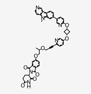 CC(COc1ccc2c(c1)C(=O)N(C1CCC(=O)NC1=O)C2=O)OCC#Cc1ccc(O[C@H]2C[C@H](Oc3ccc(-c4ccc5c6cnccc6n(C)c5c4)cn3)C2)cn1